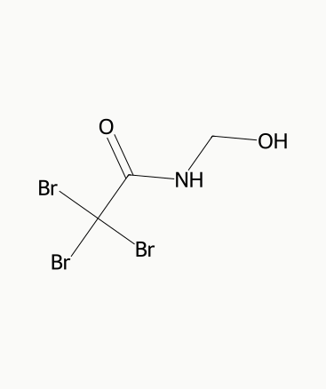 O=C(NCO)C(Br)(Br)Br